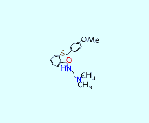 COc1ccc(CSc2ccccc2C(=O)NCCN(C)C)cc1